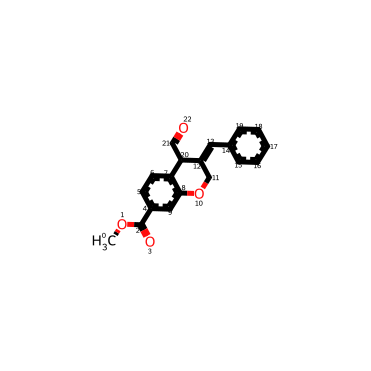 COC(=O)c1ccc2c(c1)OCC(=Cc1ccccc1)C2C=O